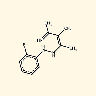 CC(=N)C(C)=C(C)NNc1ccccc1F